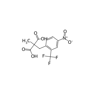 CC(Cc1ccc([N+](=O)[O-])cc1C(F)(F)F)(C(=O)O)C(=O)O